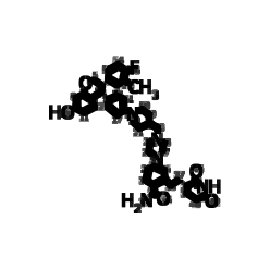 Cc1cc([C@H]2COc3cc(O)ccc3[C@H]2c2ccc(N3CCC(CN4CCN(c5ccc(C(N)=O)c(CC[C@H]6CCC(=O)NC6=O)c5)CC4)CC3)cc2)ccc1F